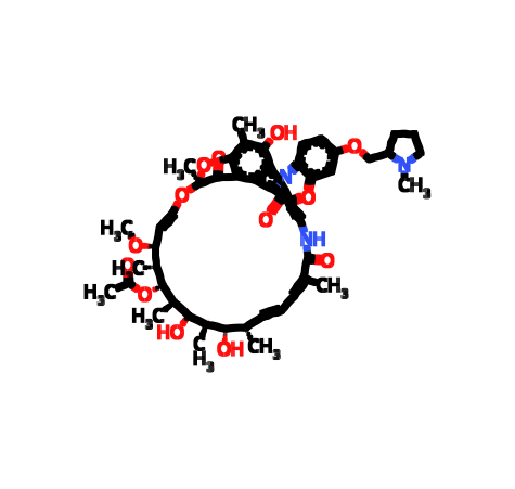 CO[C@H]1/C=C/O[C@@]2(C)Oc3c(C)c(O)c4c(=O)c(c5oc6cc(OCC7CCCN7C)ccc6nc-5c4c3C2=O)NC(=O)/C(C)=C\C=C\[C@H](C)[C@H](O)[C@@H](C)[C@@H](O)[C@@H](C)[C@H](OC(C)=O)[C@@H]1C